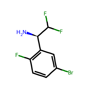 N[C@H](c1cc(Br)ccc1F)C(F)F